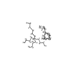 CCCCCC[P](CCCC)(CCCC)CCCC.Nc1c[nH]nn1